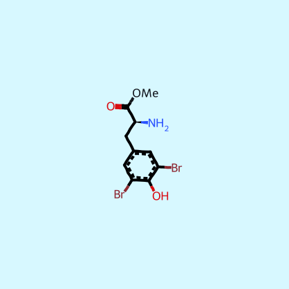 COC(=O)[C@@H](N)Cc1cc(Br)c(O)c(Br)c1